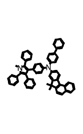 Cn1c(-c2ccccc2)c(-c2ccccc2)c(-c2ccc(N(c3ccc(-c4ccccc4)cc3)c3ccc4c(c3)C(C)(C)c3ccc5ccccc5c3-4)cc2)c1-c1ccccc1